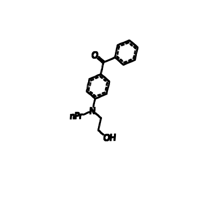 CCCN(CCO)c1ccc(C(=O)c2ccccc2)cc1